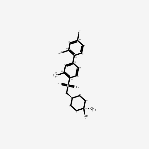 C[C@]1(O)CC[C@@H](CS(=O)(=O)c2ccc(-c3ccc(F)cc3F)cc2C(F)(F)F)CC1